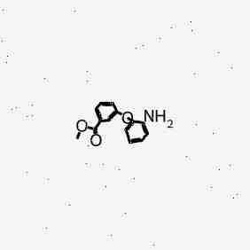 COC(=O)c1cccc(Oc2ccccc2N)c1